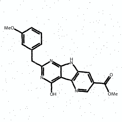 COC(=O)c1cnc2c(c1)[nH]c1nc(Cc3cccc(OC)c3)nc(O)c12